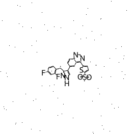 CS(=O)(=O)c1ccc(-c2ncnc3ccc(-c4c[nH]nc4[CH]c4ccc(F)cc4F)cc23)s1